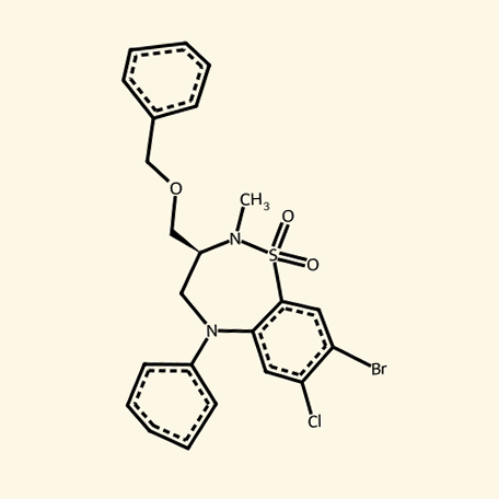 CN1[C@H](COCc2ccccc2)CN(c2ccccc2)c2cc(Cl)c(Br)cc2S1(=O)=O